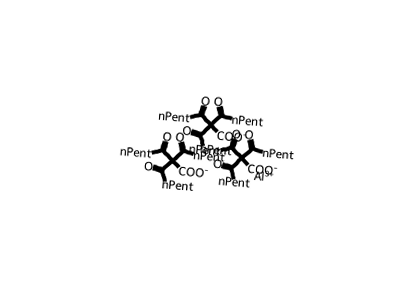 CCCCCC(=O)C(C(=O)[O-])(C(=O)CCCCC)C(=O)CCCCC.CCCCCC(=O)C(C(=O)[O-])(C(=O)CCCCC)C(=O)CCCCC.CCCCCC(=O)C(C(=O)[O-])(C(=O)CCCCC)C(=O)CCCCC.[Al+3]